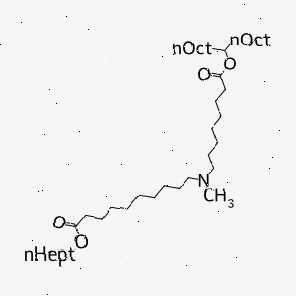 CCCCCCCCC(CCCCCCCC)OC(=O)CCCCCCCN(C)CCCCCCCCCC(=O)OCCCCCCC